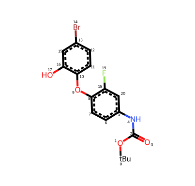 CC(C)(C)OC(=O)Nc1ccc(Oc2ccc(Br)cc2O)c(F)c1